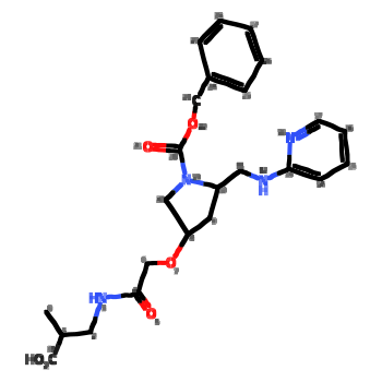 CC(CNC(=O)COC1CC(CNc2ccccn2)N(C(=O)OCc2ccccc2)C1)C(=O)O